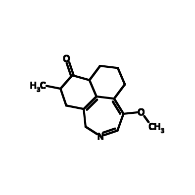 COC1=C2CCCC3C(=O)C(C)CC(=C23)CN=C1